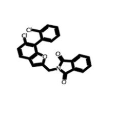 O=C1c2ccccc2C(=O)N1Cc1cc2ccc(Cl)c(-c3ccccc3Cl)c2o1